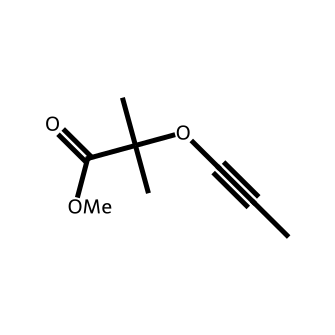 CC#COC(C)(C)C(=O)OC